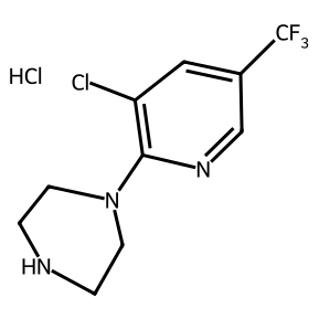 Cl.FC(F)(F)c1cnc(N2CCNCC2)c(Cl)c1